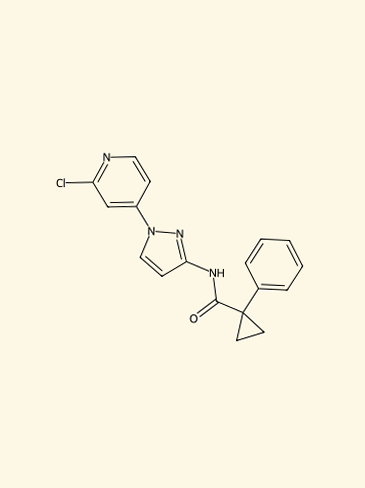 O=C(Nc1ccn(-c2ccnc(Cl)c2)n1)C1(c2ccccc2)CC1